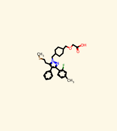 CSCCc1c(-c2ccccc2)c(-c2ccc(C)cc2F)nn1CC1CCC(COCC(=O)O)CC1